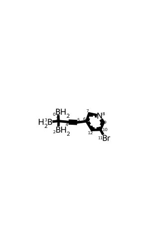 BC(B)(B)C#Cc1cncc(Br)c1